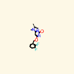 C[C@H]1Cn2c(cc(OCc3cccc(F)c3F)nc2=O)N1C